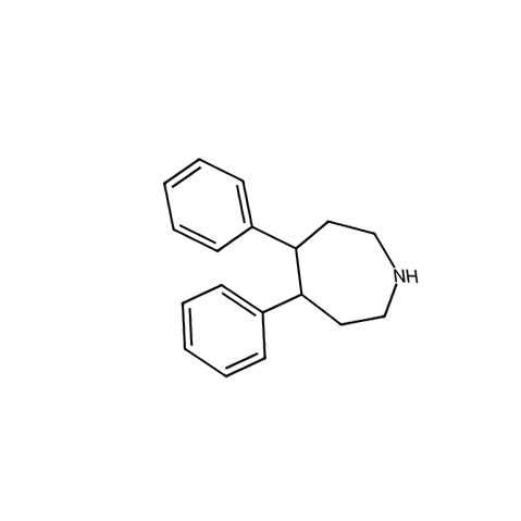 c1ccc(C2CCNCCC2c2ccccc2)cc1